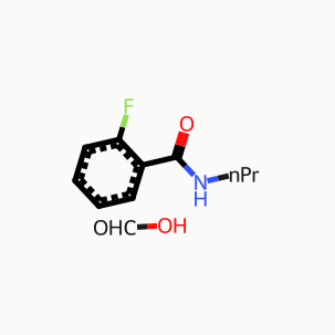 CCCNC(=O)c1ccccc1F.O=CO